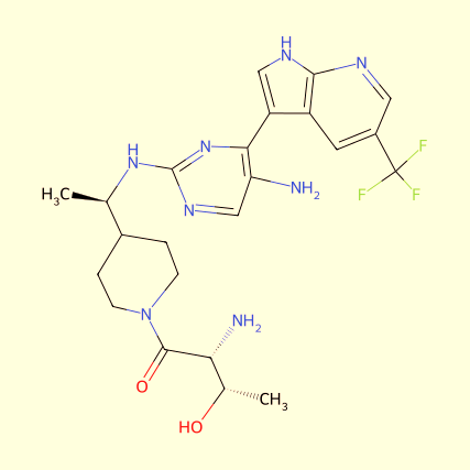 C[C@H](O)[C@@H](N)C(=O)N1CCC([C@@H](C)Nc2ncc(N)c(-c3c[nH]c4ncc(C(F)(F)F)cc34)n2)CC1